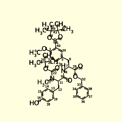 COc1ccc(C[C@H](NC(=O)[C@@H](Cc2ccc(O)cc2)N(C)C(=O)OC(C)(C)C)C(=O)OCc2ccccc2)cc1B1OC(C)(C)C(C)(C)O1